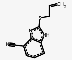 C=CCSc1nc2c(C#N)cccc2[nH]1